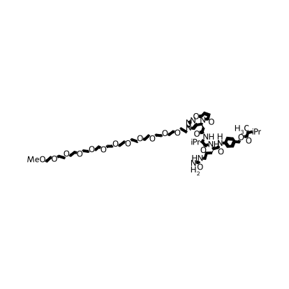 COCCOCCOCCOCCOCCOCCOCCOCCOCCOCCOCCOCCn1cc([C@H](CC(=O)N[C@H](C(=O)N[C@@H](CCCNC(N)=O)C(=O)Nc2ccc(COC(=O)C(C)C(C)C)cc2)C(C)C)N2C(=O)C=CC2=O)nn1